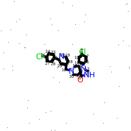 O=C1NCN(c2ccc(Cl)cc2)C12CCN(Cc1ccnc(-c3ccc(Cl)cc3)c1)CC2